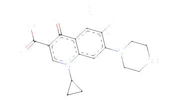 O=C(O)c1cn(C2CC2)c2cc(N3CCNCC3)c(F)cc2c1=O.[BiH3]